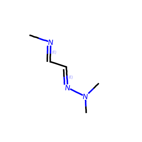 C/N=C/C=N/N(C)C